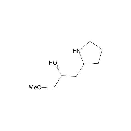 COC[C@H](O)CC1CCCN1